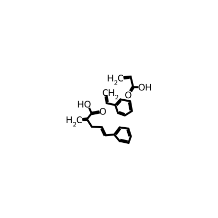 C=C(CC=Cc1ccccc1)C(=O)O.C=CC(=O)O.C=Cc1ccccc1